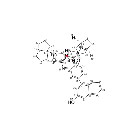 CC1(NC(=O)N2[C@@H]3CC[C@H]2CN(c2nc(OCC45CCCN4CCC5)nc4cc(-c5cc(O)cc6ccccc56)ccc24)C3)CCNC1